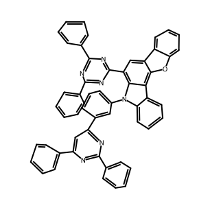 c1ccc(-c2cc(-c3cccc(-n4c5ccccc5c5c6oc7ccccc7c6cc(-c6nc(-c7ccccc7)nc(-c7ccccc7)n6)c54)c3)nc(-c3ccccc3)n2)cc1